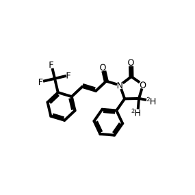 [2H]C1([2H])OC(=O)N(C(=O)C=Cc2ccccc2C(F)(F)F)C1c1ccccc1